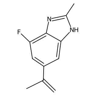 C=C(C)c1cc(F)c2nc(C)[nH]c2c1